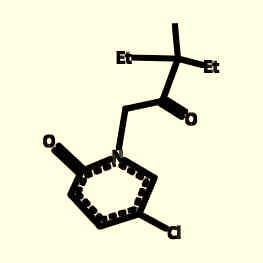 CCC(C)(CC)C(=O)Cn1cc(Cl)ccc1=O